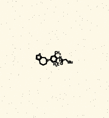 Cc1cc(N2CCCc3ccsc3C2)cc(C)c1NC(=O)CC(C)(C)C